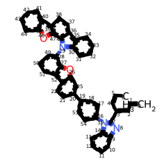 C=C/C=C(\C=C/C)c1nc2ccccc2n1-c1ccc(-c2ccc3c(c2)oc2c(-n4c5ccccc5c5ccc6c7ccccc7oc6c54)cccc23)cc1